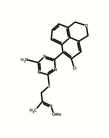 CON=C(C)CSc1nc(N)nc(-c2c(Cl)cc3c4c(cccc24)COC3)n1